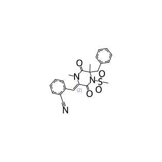 CN1C(=O)C(C)(Cc2ccccc2)N(S(C)(=O)=O)C(=O)/C1=C/c1ccccc1C#N